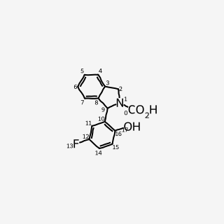 O=C(O)N1Cc2ccccc2C1c1cc(F)ccc1O